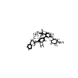 CN(Cc1ccccc1)C(=O)c1cc(-c2nc(NC3CCCNC3)ncc2C(F)(F)F)c[nH]1